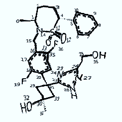 C[C@H]1CC[C@H](c2ccccc2)S(=O)(=O)N1Cc1cc(F)c([C@]2(c3nc(CO)n[nH]3)C[C@](C)(O)C2)cc1F